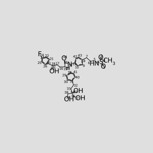 CS(=O)(=O)NCCCc1ccc(N2C(=O)C(CC[C@H](O)c3ccc(F)cc3)[C@H]2c2ccc(CCC(O)(CO)CO)cc2)cc1